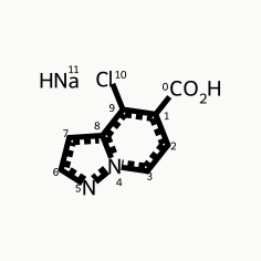 O=C(O)c1ccn2nccc2c1Cl.[NaH]